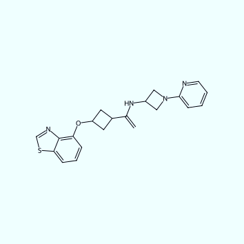 C=C(NC1CN(c2ccccn2)C1)C1CC(Oc2cccc3scnc23)C1